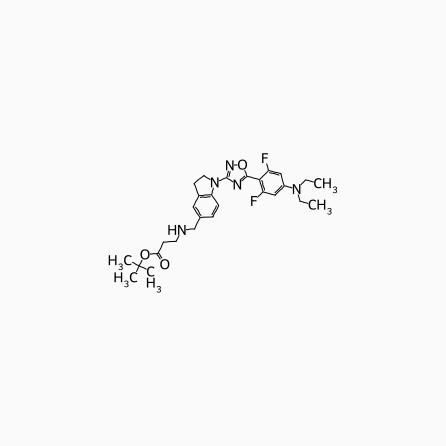 CCN(CC)c1cc(F)c(-c2nc(N3CCc4cc(CNCCC(=O)OC(C)(C)C)ccc43)no2)c(F)c1